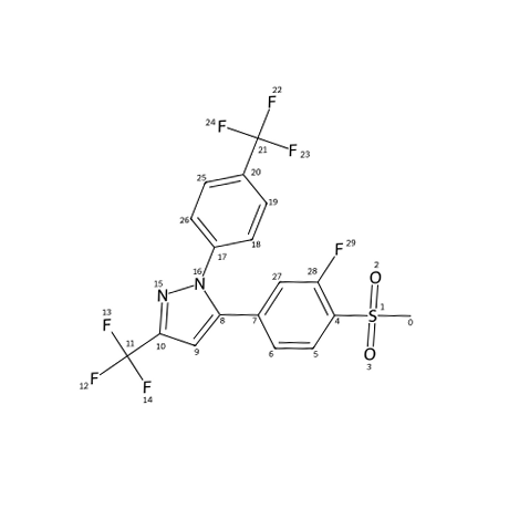 CS(=O)(=O)c1ccc(-c2cc(C(F)(F)F)nn2-c2ccc(C(F)(F)F)cc2)cc1F